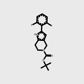 CC(C)(C)OC(=O)N1CCc2[nH]c(-c3c(F)cccc3F)cc2C1